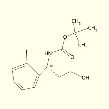 CC(C)(C)OC(=O)N[C@H](CCO)c1ccccc1I